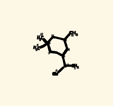 CC1CC(N(N)C(C)(C)C)CC(C)(C)C1